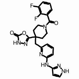 O=C(c1cccc(F)c1F)N1CCC(Cc2cccc(Nc3cc[nH]n3)n2)(c2n[nH]c(=O)o2)CC1